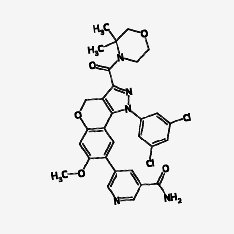 COc1cc2c(cc1-c1cncc(C(N)=O)c1)-c1c(c(C(=O)N3CCOCC3(C)C)nn1-c1cc(Cl)cc(Cl)c1)CO2